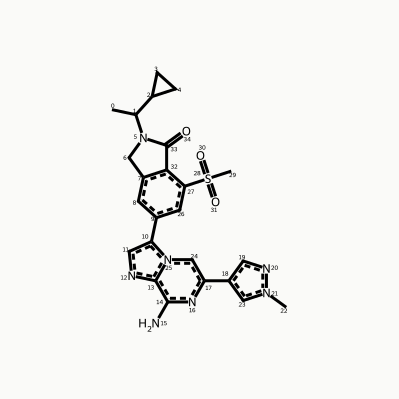 CC(C1CC1)N1Cc2cc(-c3cnc4c(N)nc(-c5cnn(C)c5)cn34)cc(S(C)(=O)=O)c2C1=O